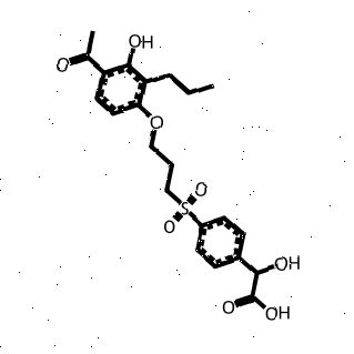 CCCc1c(OCCCS(=O)(=O)c2ccc(C(O)C(=O)O)cc2)ccc(C(C)=O)c1O